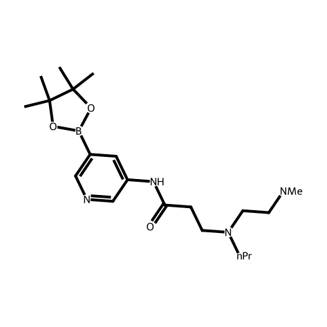 CCCN(CCNC)CCC(=O)Nc1cncc(B2OC(C)(C)C(C)(C)O2)c1